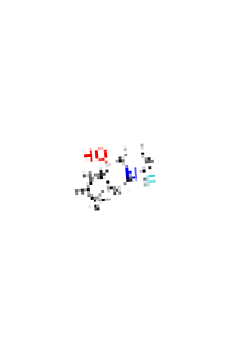 OCC1CCCC(F)N1Cc1ccccc1